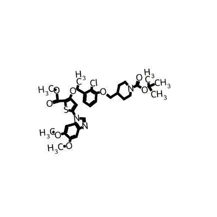 COC(=O)c1sc(-n2cnc3cc(OC)c(OC)cc32)cc1OC(C)c1cccc(OCC2CCN(C(=O)OC(C)(C)C)CC2)c1Cl